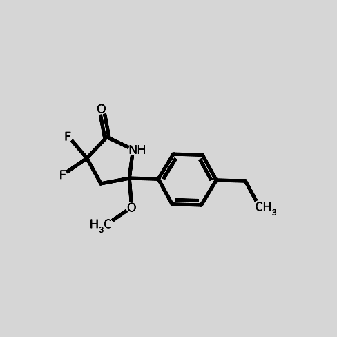 CCc1ccc(C2(OC)CC(F)(F)C(=O)N2)cc1